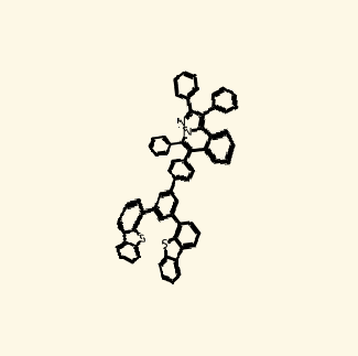 c1ccc(-c2nn3c(-c4ccccc4)c(-c4ccc(-c5cc(-c6cccc7c6sc6ccccc67)cc(-c6cccc7c6sc6ccccc67)c5)cc4)c4ccccc4c3c2-c2ccccc2)cc1